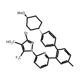 CCc1nn(-c2cccc(-c3cc(C)ccc3-c3ccc([C@H]4CC[C@H](OC)CC4)cc3)n2)c(C(F)(F)F)c1C(=O)O